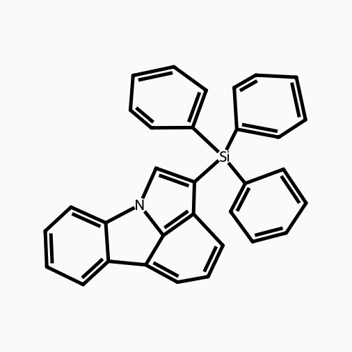 c1ccc([Si](c2ccccc2)(c2ccccc2)c2cn3c4ccccc4c4cccc2c43)cc1